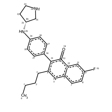 CCCCc1nc2ccc(F)cn2c(=O)c1-c1ccc(N[C@@H]2CCNC2)cc1